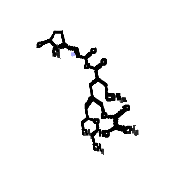 C=C(O)C(=O)OCC(CC(CC)OCCC)CC(CC)C(=O)OC(=O)/C=C/C1CCC(=O)N1